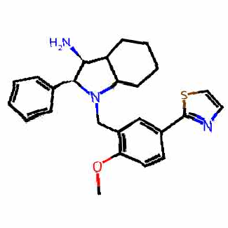 COc1ccc(-c2nccs2)cc1CN1C2CCCCC2[C@H](N)[C@@H]1c1ccccc1